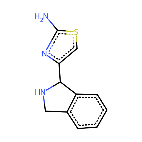 Nc1nc(C2NCc3ccccc32)cs1